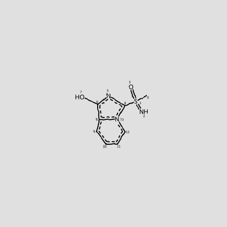 CS(=N)(=O)c1nc(O)c2ccccn12